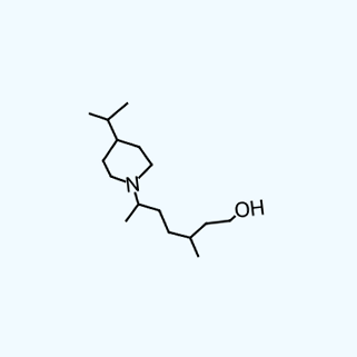 CC(CCO)CCC(C)N1CCC(C(C)C)CC1